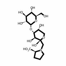 O=C(O)[C@@H]1CCCN1C[C@@]1(O)OC[C@@H](O)[C@@H](O[C@H]2O[C@H](CO)[C@@H](O)[C@H](O)[C@H]2O)[C@@H]1O